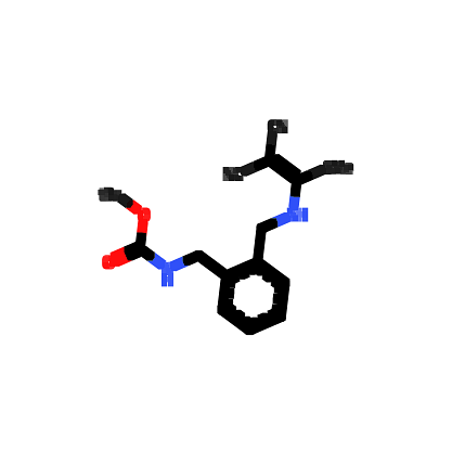 CSC(NCc1ccccc1CNC(=O)OC(C)(C)C)=C(C#N)C#N